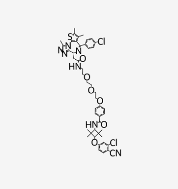 Cc1sc2c(c1C)C(c1ccc(Cl)cc1)=N[C@@H](CC(=O)NCCOCCOCCOc1ccc(C(=O)NC3C(C)(C)C(Oc4ccc(C#N)c(Cl)c4)C3(C)C)cc1)c1nnc(C)n1-2